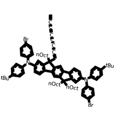 C=C=C=C=C=C=C=CC1(CCCCCCCC)c2cc(N(c3ccc(Br)cc3)c3ccc(C(C)(C)C)cc3)ccc2-c2cc3c(cc21)-c1ccc(N(c2ccc(Br)cc2)c2ccc(C(C)(C)C)cc2)cc1C3(CCCCCCCC)CCCCCCCC